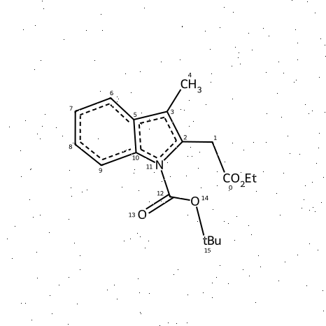 CCOC(=O)Cc1c(C)c2ccccc2n1C(=O)OC(C)(C)C